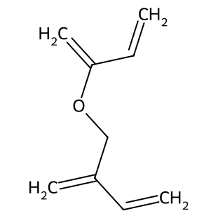 C=CC(=C)COC(=C)C=C